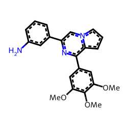 COc1cc(-c2nc(-c3cccc(N)c3)cn3cccc23)cc(OC)c1OC